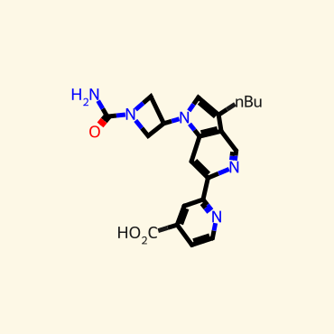 CCCCc1cn(C2CN(C(N)=O)C2)c2cc(-c3cc(C(=O)O)ccn3)ncc12